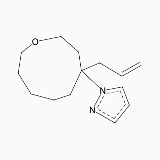 C=CCC1(n2cccn2)CCCCCOCC1